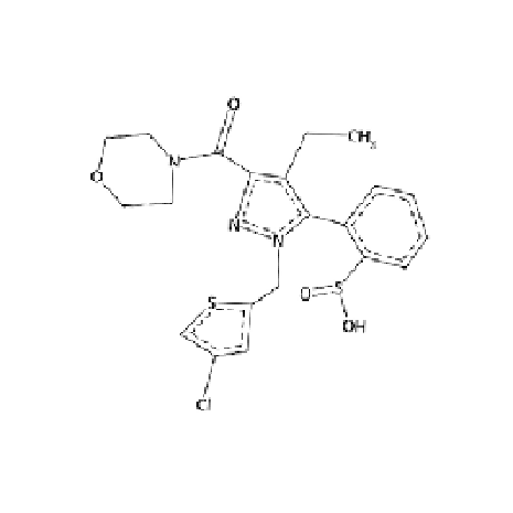 CCc1c(C(=O)N2CCOCC2)nn(Cc2cc(Cl)cs2)c1-c1ccccc1S(=O)O